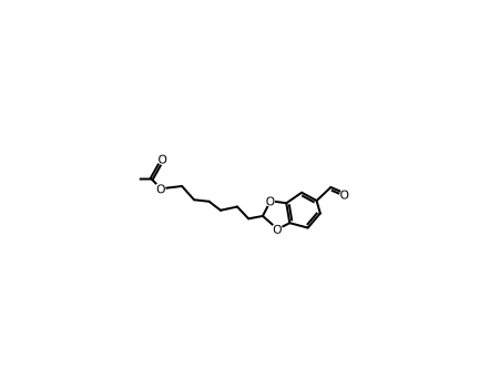 CC(=O)OCCCCCCC1Oc2ccc(C=O)cc2O1